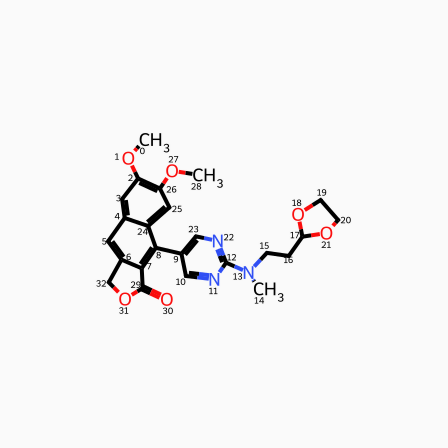 COc1cc2cc3c(c(-c4cnc(N(C)CCC5OCCO5)nc4)c2cc1OC)C(=O)OC3